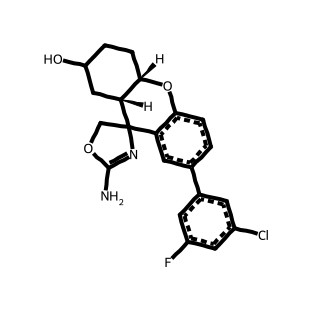 NC1=NC2(CO1)c1cc(-c3cc(F)cc(Cl)c3)ccc1O[C@H]1CCC(O)C[C@H]12